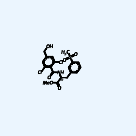 COC(=O)[C@H](Cc1cccc(S(C)(=O)=O)c1)NC(=O)c1c(Cl)cc(CO)cc1Cl